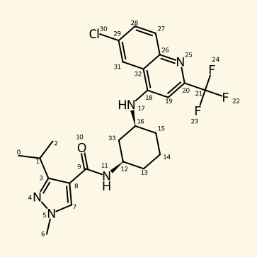 CC(C)c1nn(C)cc1C(=O)N[C@@H]1CCC[C@H](Nc2cc(C(F)(F)F)nc3ccc(Cl)cc23)C1